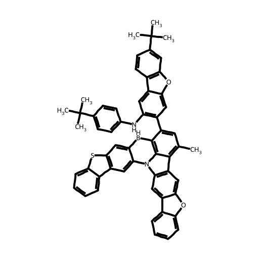 Cc1cc(-c2cc3oc4cc(C(C)(C)C)ccc4c3cc2Nc2ccc(C(C)(C)C)cc2)c2c3c1c1cc4oc5ccccc5c4cc1n3-c1cc3c(cc1B2)sc1ccccc13